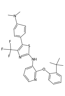 CN(C)c1ccc(-c2sc(Nc3cccnc3Oc3ccccc3C(C)(C)C)nc2C(F)(F)F)cc1